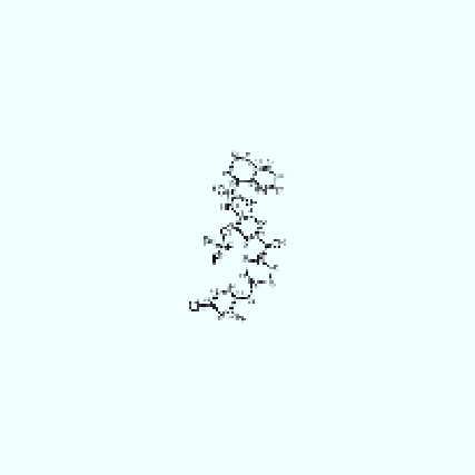 O=C(c1ccc(NS(=O)(=O)c2cccc3cccnc23)c(OC(F)(F)F)c1)N1CCN(Cc2ccc(Cl)cc2F)CC1